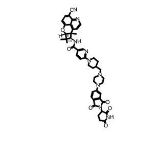 CC1(C)[C@H](NC(=O)c2ccc(N3CCC(CN4CCN(c5ccc6c(c5)C(=O)N(C5CCC(=O)NC5=O)C6=O)CC4)CC3)nc2)C2(C)c3ccnc4c(C#N)ccc(c34)O[C@@H]12